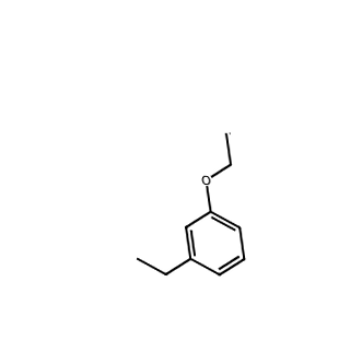 [CH2]COc1cccc(CC)c1